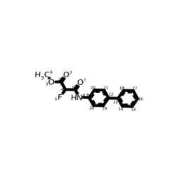 COC(=O)C(F)C(=O)Nc1ccc(-c2ccccc2)cc1